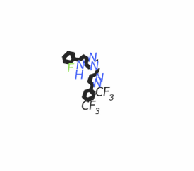 Fc1ccccc1-c1cc2c([nH]1)CN(Cc1ccc(-c3ccc(C(F)(F)F)cc3C(F)(F)F)nn1)C=N2